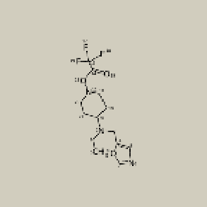 CCN(Cc1cnco1)C1CCN(OC(=O)C(F)(F)F)CC1